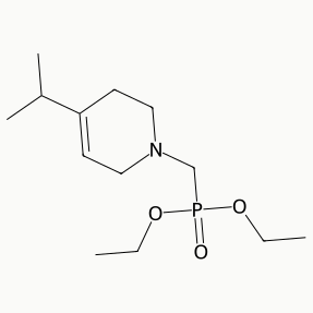 CCOP(=O)(CN1CC=C(C(C)C)CC1)OCC